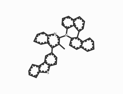 Cc1c(N2c3ccc4ccccc4c3-c3cccc4cccc2c34)nc2ccccc2c1-c1ccc2sc3ccccc3c2c1